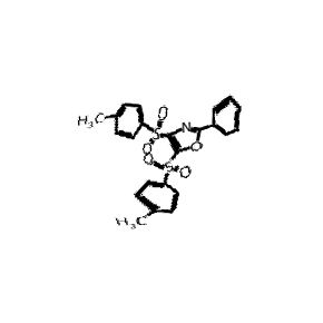 Cc1ccc(S(=O)(=O)c2nc(-c3ccccc3)oc2S(=O)(=O)c2ccc(C)cc2)cc1